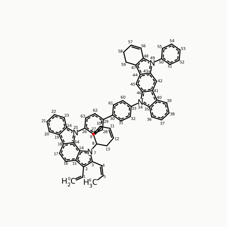 C=Cc1c(/C=C\C)n(C2C=CC=CC2)c2c1ccc1c3ccccc3n(-c3ccc(-c4ccc(-n5c6ccccc6c6cc7c(cc65)c5c(n7-c6ccccc6)C=CCC5)cc4)cc3)c12